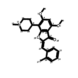 COc1cc(OC)c(C2CCN(C)CC2)c2c1C(=O)/C(=C\c1ccccc1I)O2